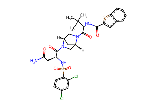 CC(C)(C)C(NC(=O)c1cc2ccccc2s1)C(=O)N1C[C@@H]2C[C@H]1CN2C(=O)[C@H](CC(N)=O)NS(=O)(=O)c1ccc(Cl)cc1Cl